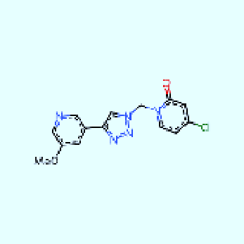 COc1cncc(-c2cn(Cn3ccc(Cl)cc3=O)nn2)c1